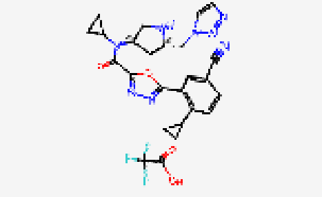 N#Cc1ccc(C2CC2)c(-c2nnc(C(=O)N(C3CC3)[C@H]3CN[C@H](Cn4ccnn4)C3)o2)c1.O=C(O)C(F)(F)F